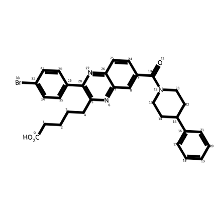 O=C(O)CCCCc1nc2cc(C(=O)N3CCC(c4ccccc4)CC3)ccc2nc1-c1ccc(Br)cc1